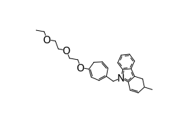 CCOCCOCCOC1=CC=C(Cn2c3c(c4ccccc42)CC(C)C=C3)C=CC1